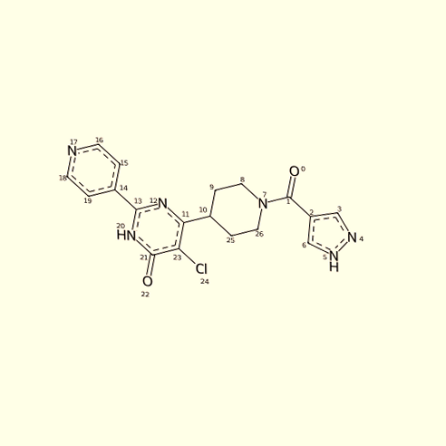 O=C(c1cn[nH]c1)N1CCC(c2nc(-c3ccncc3)[nH]c(=O)c2Cl)CC1